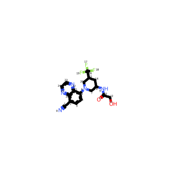 N#Cc1ccc(N2CC(NC(=O)CO)CC(C(F)(F)F)C2)c2nccnc12